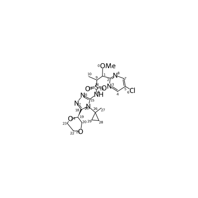 COC(c1ncc(Cl)cn1)C(C)S(=O)(=O)Nc1nnc([C@H]2COCCO2)n1C1(C)CC1